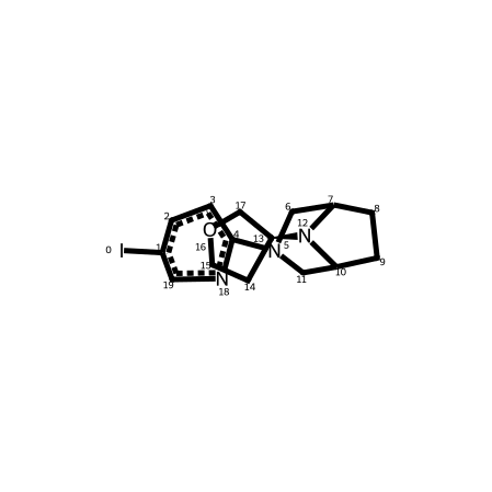 Ic1ccc(N2CC3CCC(C2)N3[C@H]2CCOC2)nc1